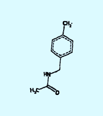 [CH2]c1ccc(CNC(C)=O)cc1